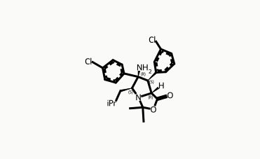 CC(C)C[C@@H]1N2[C@@H](C(=O)OC2(C)C)[C@H](c2cccc(Cl)c2)[C@@]1(N)c1ccc(Cl)cc1